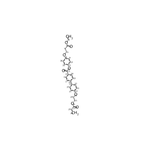 C=COC(=O)CCOc1ccc(OC(=O)c2ccc(-c3ccc(OCCOC(=O)C=C)cc3)cc2)cc1